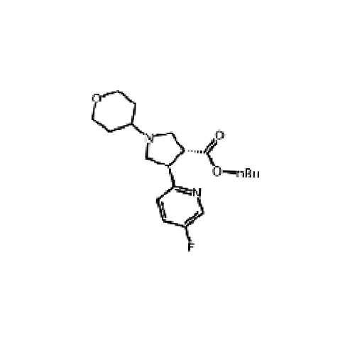 CCCCOC(=O)[C@H]1CN(C2CCOCC2)C[C@@H]1c1ccc(F)cn1